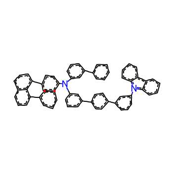 c1ccc(-c2cccc(N(c3ccc(-c4cccc5cccc(-c6ccccc6)c45)cc3)c3cccc(-c4ccc(-c5cccc(-n6c7ccccc7c7ccccc76)c5)cc4)c3)c2)cc1